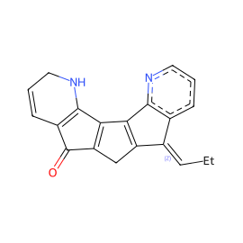 CC/C=C1/C2=C(C3=C(C2)C(=O)C2=C3NCC=C2)c2ncccc21